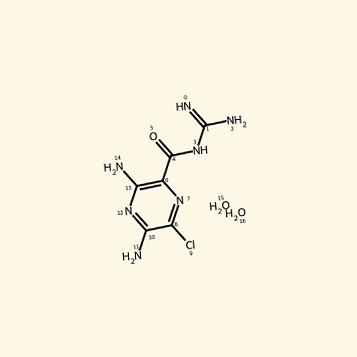 N=C(N)NC(=O)c1nc(Cl)c(N)nc1N.O.O